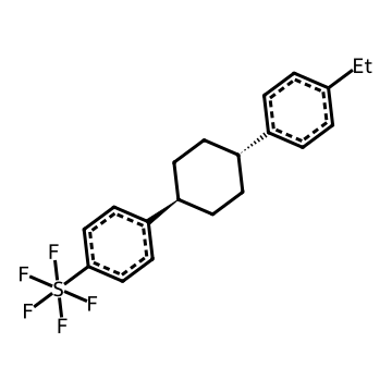 CCc1ccc([C@H]2CC[C@H](c3ccc(S(F)(F)(F)(F)F)cc3)CC2)cc1